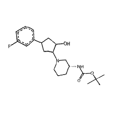 CC(C)(C)OC(=O)N[C@@H]1CCCN(C2CC(c3cccc(F)c3)CC2O)C1